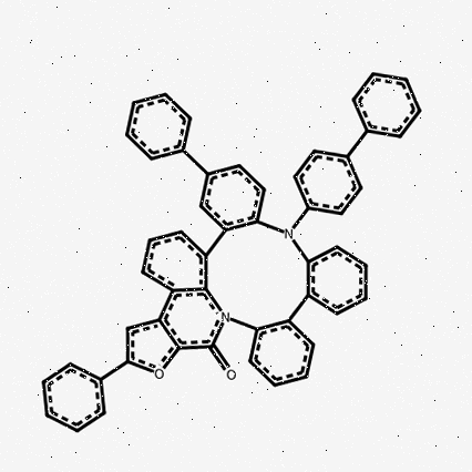 O=c1c2oc(-c3ccccc3)cc2c2cccc3c2n1-c1ccccc1-c1ccccc1N(c1ccc(-c2ccccc2)cc1)c1ccc(-c2ccccc2)cc1-3